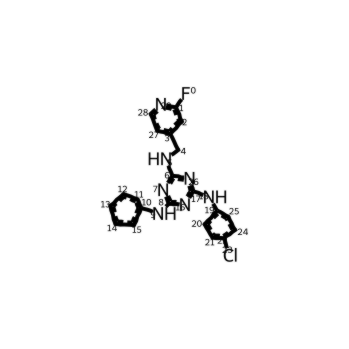 Fc1cc(CNc2nc(Nc3ccccc3)nc(Nc3ccc(Cl)cc3)n2)ccn1